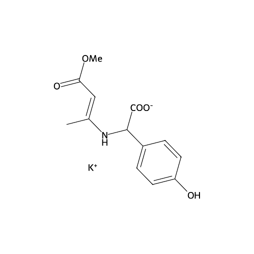 COC(=O)C=C(C)NC(C(=O)[O-])c1ccc(O)cc1.[K+]